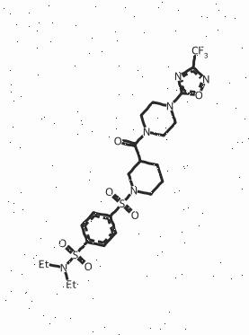 CCN(CC)S(=O)(=O)c1ccc(S(=O)(=O)N2CCCC(C(=O)N3CCN(c4nc(C(F)(F)F)no4)CC3)C2)cc1